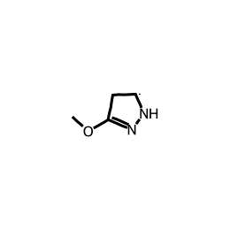 COC1=NN[CH]C1